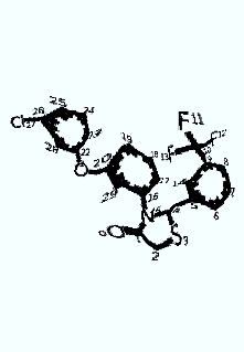 O=C1CSC(c2cccc(C(F)(F)F)c2)N1c1cccc(Oc2cccc(Cl)c2)c1